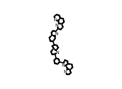 c1cc(-c2ccc3cc(-c4ccc5ccc(-c6ccc7ccc8cccnc8c7n6)nc5c4)ccc3n2)cc(-c2ccc3ccc4cccnc4c3n2)c1